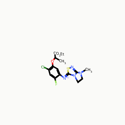 CCOC(=O)C(C)Oc1cc(/N=c2\snc3n2CCN3C)c(F)cc1Cl